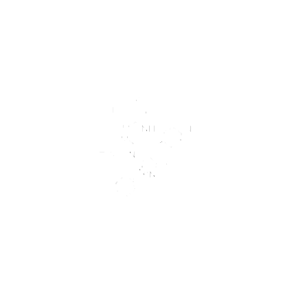 CCN1C(=O)C(NC(=O)C(C)(C)C)[C@@H](c2ccc(F)cc2)c2c(C)nn(-c3ccccc3)c21